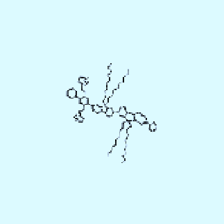 CCCCCCCCCCC1(CCCCCCCCCC)c2cc(-c3ccccc3)ccc2-c2ccc(-c3ccc4c(c3)C(CCCCCCCCCC)(CCCCCCCCCC)c3cc(-c5cc(/C=C/c6cccs6)c(-c6ccccc6)cc5/C=C/c5cccs5)ccc3-4)cc21